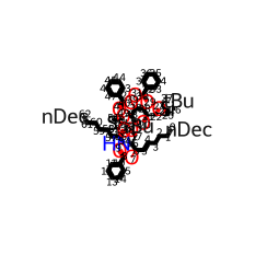 CCCCCCCCCCCCC/C=C/[C@@H](OC(=O)c1ccccc1)[C@H](CO[C@H]1O[C@H](CO[Si](C)(C)C(C)(C)C)[C@@H](OC(=O)c2ccccc2)[C@H](OC(=O)c2ccccc2)[C@@H]1O[Si](C)(C)C(C)(C)C)NC(=O)CCCCCCCCCCCCCCC